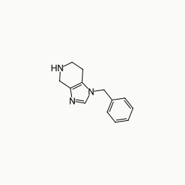 c1ccc(Cn2cnc3c2CCNC3)cc1